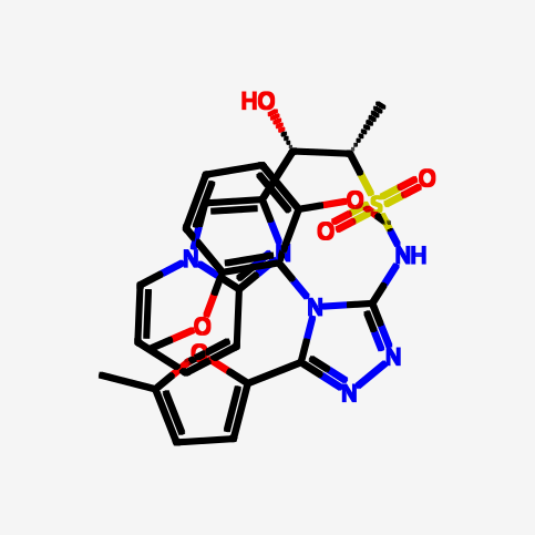 COc1cccc(OC)c1-n1c(NS(=O)(=O)[C@@H](C)[C@@H](O)c2cn3ccccc3n2)nnc1-c1ccc(C)o1